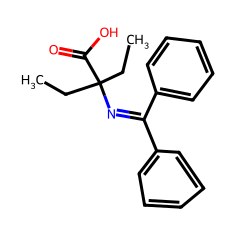 CCC(CC)(N=C(c1ccccc1)c1ccccc1)C(=O)O